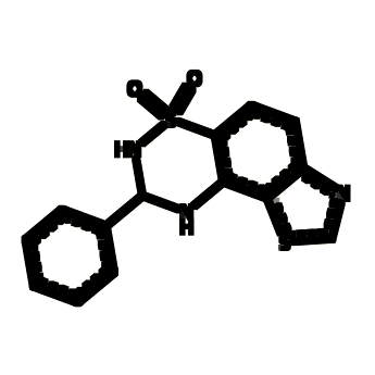 O=S1(=O)NC(c2ccccc2)Nc2c1ccc1ncsc21